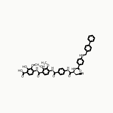 COc1c(NC(=O)c2ccc(NC(=O)c3ccc(NC(=O)[C@H](CC#N)NC(=O)c4ccc(NCc5ccc(-c6ccccc6)cc5)cc4)cc3)c(OC)c2O)ccc(C(=O)O)c1O